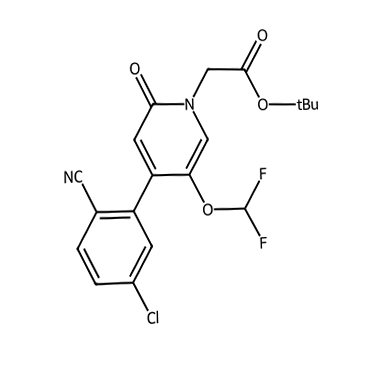 CC(C)(C)OC(=O)Cn1cc(OC(F)F)c(-c2cc(Cl)ccc2C#N)cc1=O